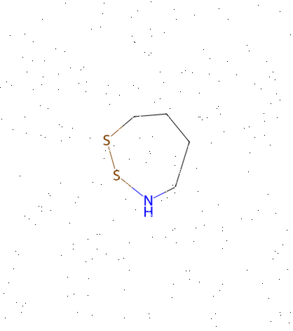 C1CCSSNC1